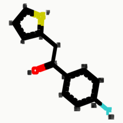 O=C(Cc1cccs1)c1ccc(F)cc1